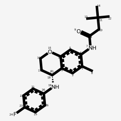 Cc1cc2c(cc1NC(=O)CC(C)(C)C)OCC[C@H]2Nc1ccc(F)cc1